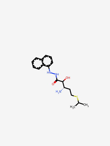 CC(C)SCC[C@H](N)C(O)C(=O)NNc1cccc2ccccc12